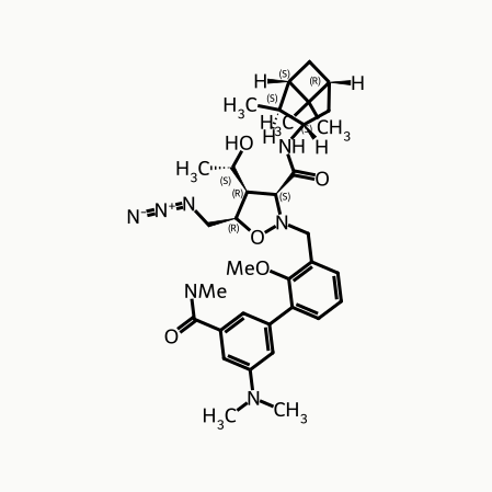 CNC(=O)c1cc(-c2cccc(CN3O[C@@H](CN=[N+]=[N-])[C@@H]([C@H](C)O)[C@H]3C(=O)N[C@H]3C[C@H]4C[C@@H]([C@@H]3C)C4(C)C)c2OC)cc(N(C)C)c1